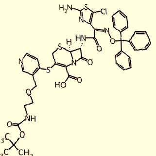 CC(C)(C)OC(=O)NCCOCc1cnccc1SC1=C(C(=O)O)N2C(=O)[C@@H](NC(=O)/C(=N\OC(c3ccccc3)(c3ccccc3)c3ccccc3)c3nc(N)sc3Cl)[C@@H]2SC1